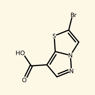 O=C(O)c1cnn2cc(Br)sc12